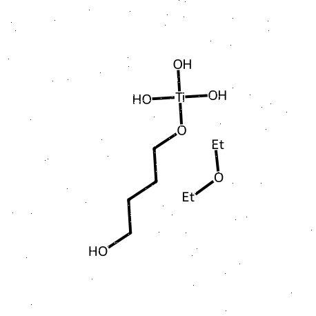 CCOCC.OCCCC[O][Ti]([OH])([OH])[OH]